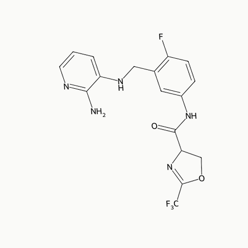 Nc1ncccc1NCc1cc(NC(=O)C2COC(C(F)(F)F)=N2)ccc1F